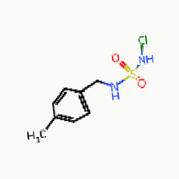 Cc1ccc(CNS(=O)(=O)NCl)cc1